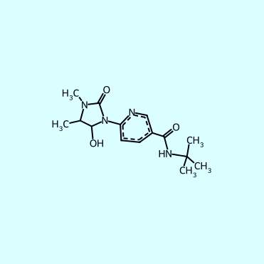 CC1C(O)N(c2ccc(C(=O)NC(C)(C)C)cn2)C(=O)N1C